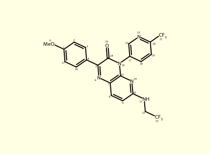 COc1ccc(-c2nc3ccc(NCC(F)(F)F)nc3n(-c3ccc(C(F)(F)F)nc3)c2=O)cc1